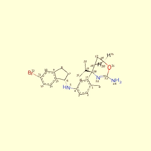 Cc1ccc(N[C@H]2CCc3cc(Br)ccc32)cc1[C@@]1(C(C)C)N=C(N)O[C@@H]2C[C@@H]21